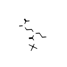 CN(CCN(CCF)C(=O)OC(C)(C)C)C(=O)O